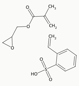 C=C(C)C(=O)OCC1CO1.C=Cc1ccccc1S(=O)(=O)O